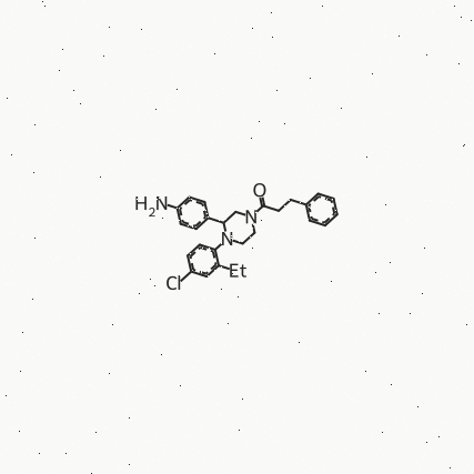 CCc1cc(Cl)ccc1N1CCN(C(=O)CCc2ccccc2)CC1c1ccc(N)cc1